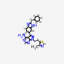 Cc1ncsc1CCn1nc(-c2ccc3nc(Cc4ccccc4)[nH]c3c2)c2c(N)ncnc21